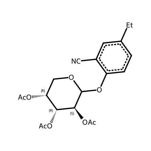 CCc1ccc(OC2OC[C@@H](OC(C)=O)[C@@H](OC(C)=O)[C@@H]2OC(C)=O)c(C#N)c1